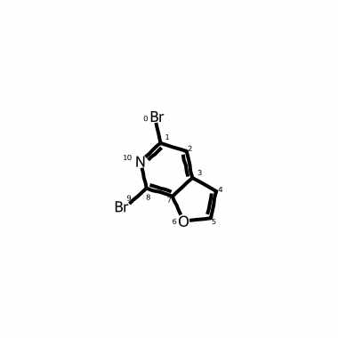 Brc1cc2ccoc2c(Br)n1